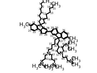 CCCCCCCCC1(CCCCCCCC)c2cc(C)ccc2-c2ccc(-c3ccc4c(c3)C(CCCCCN(CCCN(C)C)CCCN(C)C)(CCCCCN(CCCN(C)C)CCCN(C)C)c3cc(C)ccc3-4)cc21